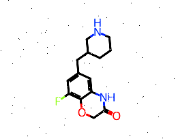 O=C1COc2c(F)cc(CC3CCCNC3)cc2N1